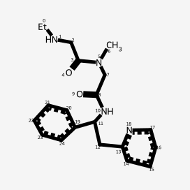 CCNCC(=O)N(C)CC(=O)NC(Cc1ccccn1)c1ccccc1